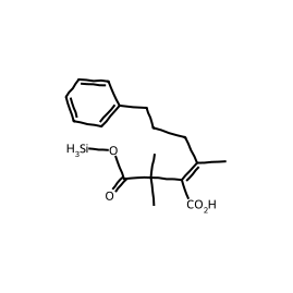 CC(CCCc1ccccc1)=C(C(=O)O)C(C)(C)C(=O)O[SiH3]